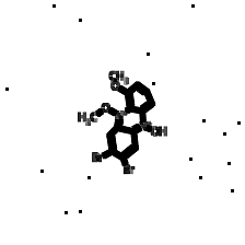 COc1cccc2c1[n+](OC)c1cc(Br)c(Br)cc1[n+]2O